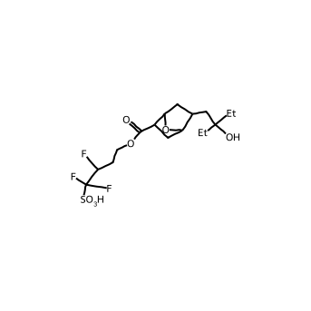 CCC(O)(CC)CC1CC2OC1CC2C(=O)OCCC(F)C(F)(F)S(=O)(=O)O